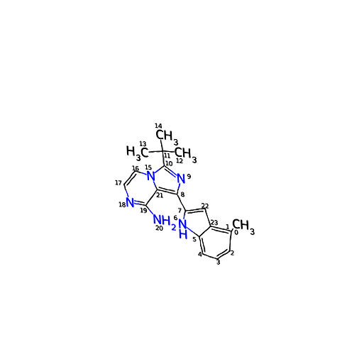 Cc1cccc2[nH]c(-c3nc(C(C)(C)C)n4ccnc(N)c34)cc12